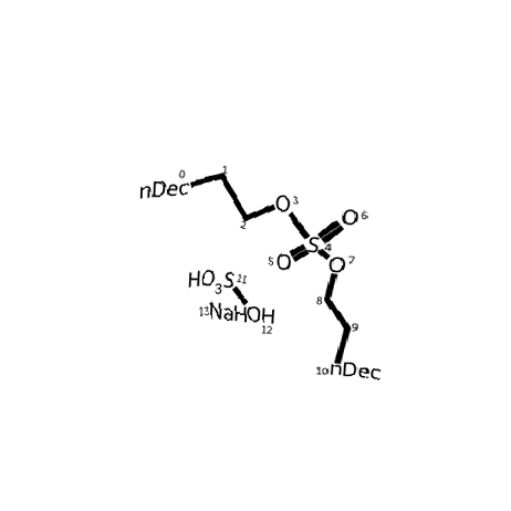 CCCCCCCCCCCCOS(=O)(=O)OCCCCCCCCCCCC.O=S(=O)(O)O.[NaH]